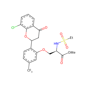 CCS(=O)(=O)N[C@H](COc1cc(C(F)(F)F)ccc1C1CC(=O)c2cccc(Cl)c2O1)C(=O)OC